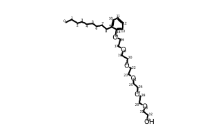 CCCCCCCCCc1ccccc1OCCOCCOCCOCCOCCOCCO